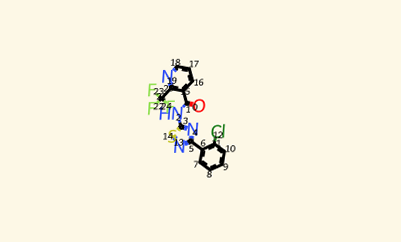 O=C(Nc1nc(-c2ccccc2Cl)ns1)c1cccnc1C(F)(F)F